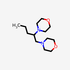 CCC[C](CN1CCOCC1)N1CCOCC1